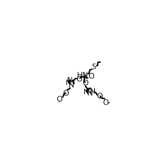 CCCSCCC(=O)NC(C)(COCc1cn(CCOCCOC)nn1)COCc1cn(CCOCCOC)nn1